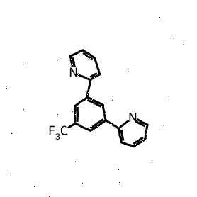 FC(F)(F)c1cc(-c2ccccn2)cc(-c2ccccn2)c1